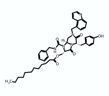 CCCCCCCCCCCC(=O)OC[C@H]1C(=O)N2[C@H](CN(Cc3cccc4ncccc34)C(=O)[C@@H]2Cc2ccc(O)cc2)N1C(=O)NCc1ccccc1